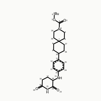 CC(C)(C)OC(=O)N1CCC2(CCC(c3ccc(NC4CCC(=O)NC4=O)cc3)CC2)CC1